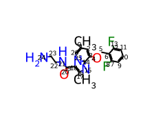 Cc1cc(OCc2c(F)cccc2F)c2nc(C)c(C(=O)NCCN)n2c1